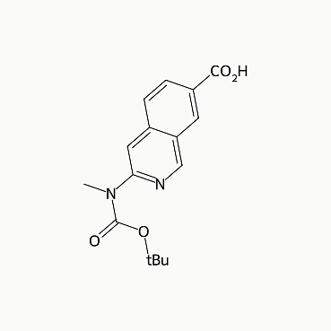 CN(C(=O)OC(C)(C)C)c1cc2ccc(C(=O)O)cc2cn1